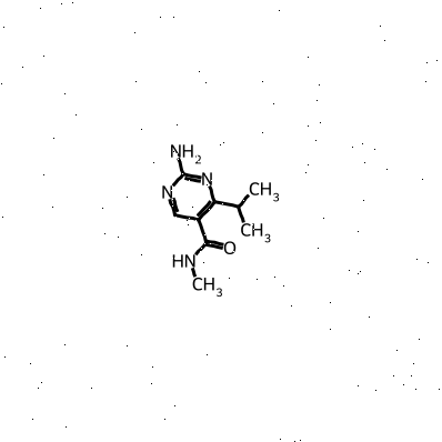 CNC(=O)c1cnc(N)nc1C(C)C